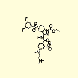 CCOC(=O)n1nc(NC(=O)c2ccc(N(C)CCN(C)C)cc2[N+](=O)[O-])c2c1CCN(S(=O)(=O)c1cc(F)cc(F)c1)C2